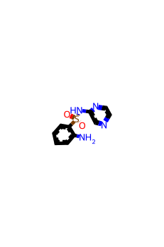 Nc1ccccc1S(=O)(=O)Nc1cnccn1